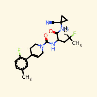 Cc1ccc(F)c(C2=CCN(C(=O)NC(CC(C)(C)F)C(=O)NC3(C#N)CC3)CC2)c1